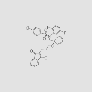 O=C1c2ccccc2C(=O)N1CCCOC1(CN(c2cc(F)ccc2F)S(=O)(=O)c2ccc(Cl)cc2)C=CC=CC1